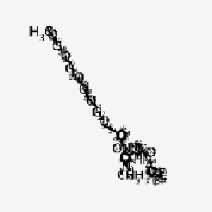 CCN(CC)c1ccc(NC(=O)c2cccc(C#CCOCCOCCOCCOCCOCCOCCOCCOCCOC)c2)c(-c2cc(C(=O)NCc3cccc(C(F)(F)F)c3)ccn2)c1